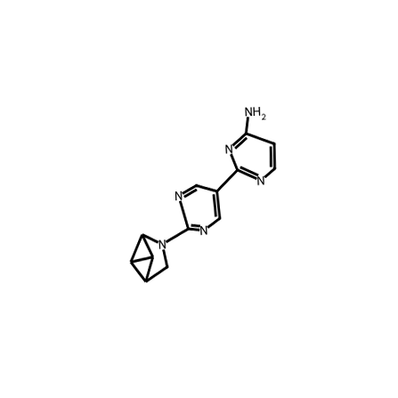 Nc1ccnc(-c2cnc(N3CC4C5C4C53)nc2)n1